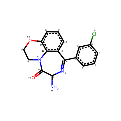 NC1N=C(c2cccc(Cl)c2)c2cccc3c2N(CCO3)C1=O